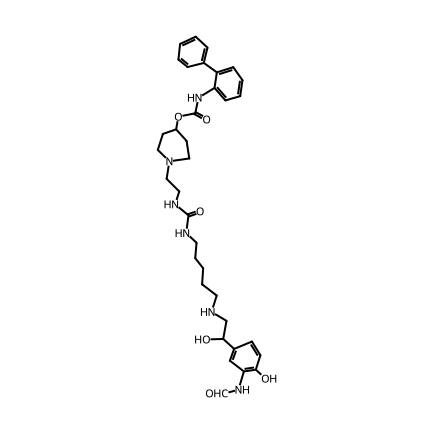 O=CNc1cc(C(O)CNCCCCCNC(=O)NCCN2CCC(OC(=O)Nc3ccccc3-c3ccccc3)CC2)ccc1O